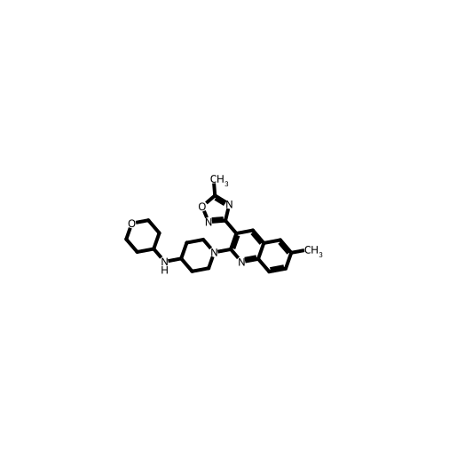 Cc1ccc2nc(N3CCC(NC4CCOCC4)CC3)c(-c3noc(C)n3)cc2c1